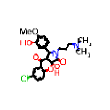 COc1ccc(C2C3C(=O)c4cc(Cl)ccc4OC3(O)C(=O)N2CCCN(C)C)cc1O